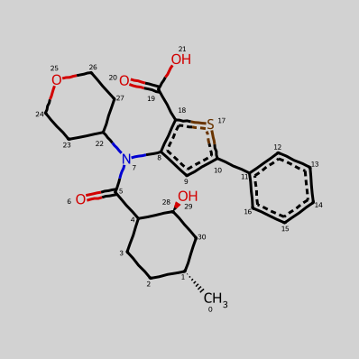 C[C@@H]1CCC(C(=O)N(c2cc(-c3ccccc3)sc2C(=O)O)C2CCOCC2)[C@@H](O)C1